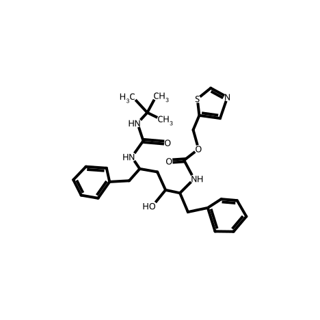 CC(C)(C)NC(=O)NC(Cc1ccccc1)CC(O)C(Cc1ccccc1)NC(=O)OCc1cncs1